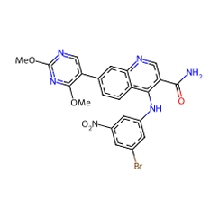 COc1ncc(-c2ccc3c(Nc4cc(Br)cc([N+](=O)[O-])c4)c(C(N)=O)cnc3c2)c(OC)n1